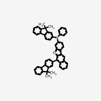 CC1(C)c2ccccc2-c2ccc(-c3c4ccccc4cc4c3oc3cc(N(c5ccccc5)c5ccc6c(c5)C(C)(C)c5ccccc5-6)ccc34)cc21